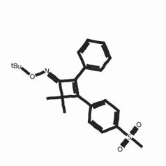 CC(C)(C)ON=C1C(c2ccccc2)=C(c2ccc(S(C)(=O)=O)cc2)C1(C)C